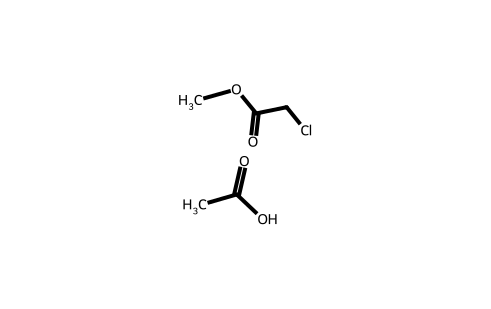 CC(=O)O.COC(=O)CCl